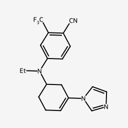 CCN(c1ccc(C#N)c(C(F)(F)F)c1)C1CCC=C(n2ccnc2)C1